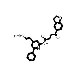 CCCCCC/C=C/c1cc(NC(=O)CCC(=O)c2ccc3c(c2)CCO3)nc(-c2ccccc2)c1